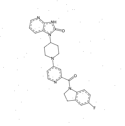 O=C(c1cc(N2CCC(n3c(=O)[nH]c4ncccc43)CC2)ccn1)N1CCc2cc(F)ccc21